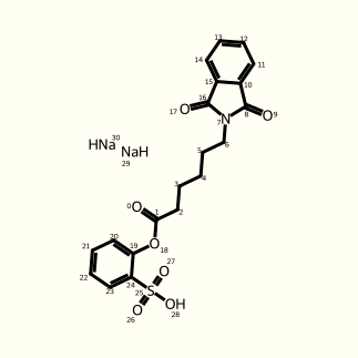 O=C(CCCCCN1C(=O)c2ccccc2C1=O)Oc1ccccc1S(=O)(=O)O.[NaH].[NaH]